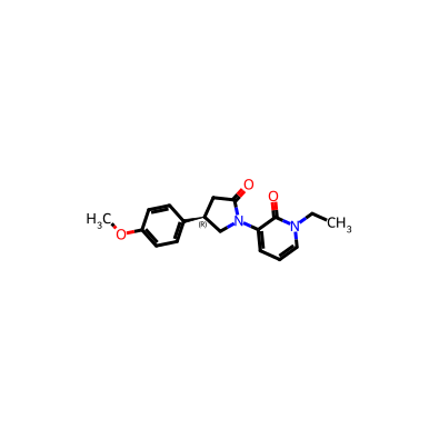 CCn1cccc(N2C[C@@H](c3ccc(OC)cc3)CC2=O)c1=O